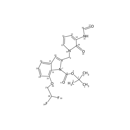 CC(C)(C)OC(=O)n1c(Cn2cccc(NC=O)c2=O)cc2cccc(OCC(F)F)c21